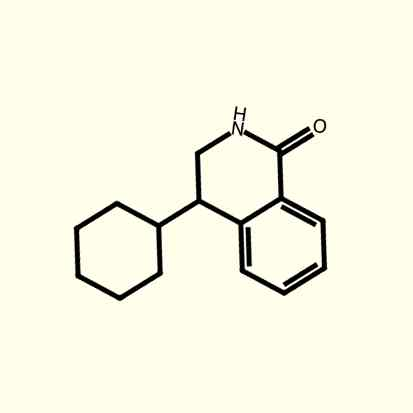 O=C1NCC(C2CCCCC2)c2ccccc21